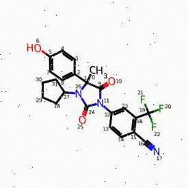 CC1(c2ccc(O)cc2)C(=O)N(c2ccc(C#N)c(C(F)(F)F)c2)C(=O)N1C1CCCC1